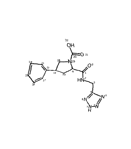 O=C(NCc1nn[nH]n1)C1CC(c2ccccc2)CN1C(=O)O